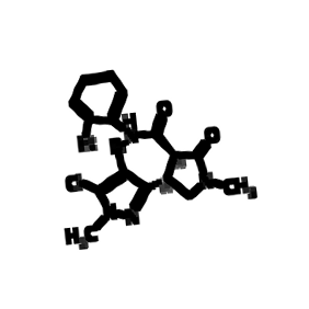 CCc1ccccc1NC(=O)[C@H]1C(=O)N(C)C[C@@H]1c1nn(C)c(Cl)c1Br